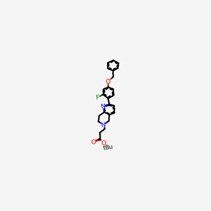 CC(C)(C)OC(=O)CCN1CCc2nc(-c3ccc(OCc4ccccc4)cc3F)ccc2C1